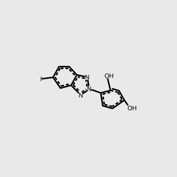 Oc1ccc(-n2nc3ccc(I)cc3n2)c(O)c1